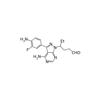 CCC(CCC=O)n1nc(-c2ccc(N)c(F)c2)c2c(N)ncnc21